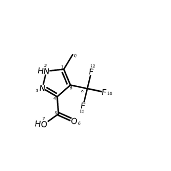 Cc1[nH]nc(C(=O)O)c1C(F)(F)F